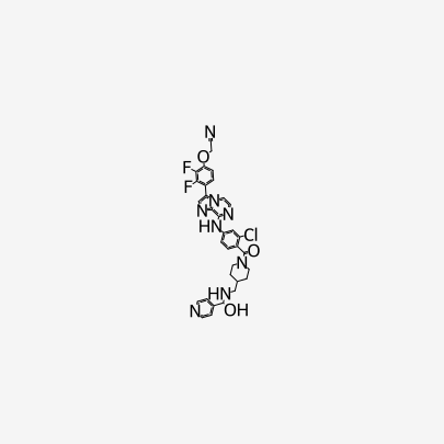 N#CCOc1ccc(-c2cnc3c(Nc4ccc(C(=O)N5CCC(CNC(O)c6ccncc6)CC5)c(Cl)c4)nccn23)c(F)c1F